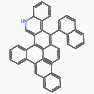 C1=CC2=c3c(-c4cccc5ccccc45)c4ccccc4c(-c4ccccc4-c4ccc5ccccc5c4)c3=CNC2C=C1